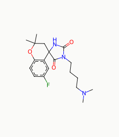 CN(C)CCCCN1C(=O)NC2(CC(C)(C)Oc3ccc(F)cc32)C1=O